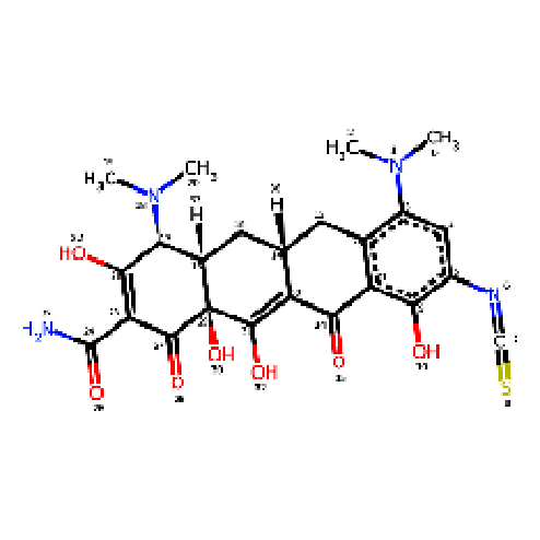 CN(C)c1cc(N=C=S)c(O)c2c1C[C@H]1C[C@H]3[C@H](N(C)C)C(O)=C(C(N)=O)C(=O)[C@@]3(O)C(O)=C1C2=O